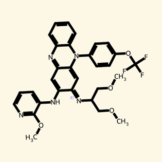 COCC(COC)/N=c1\cc2n(-c3ccc(OC(F)(F)F)cc3)c3ccccc3nc-2cc1Nc1cccnc1OC